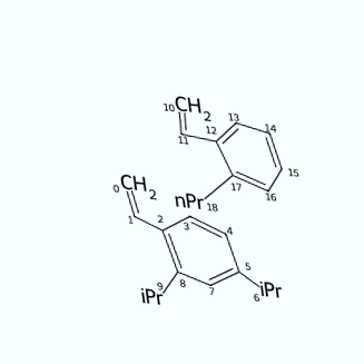 C=Cc1ccc(C(C)C)cc1C(C)C.C=Cc1ccccc1CCC